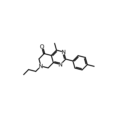 CCCN1CC(=O)c2c(C)nc(-c3ccc(C)cc3)nc2C1